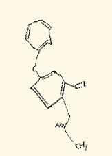 CNCc1ccc(Oc2ccccc2)cc1Cl